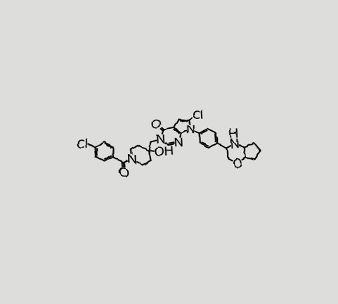 O=C(c1ccc(Cl)cc1)N1CCC(O)(Cn2cnc3c(cc(Cl)n3-c3ccc(C4COC5CCCC5N4)cc3)c2=O)CC1